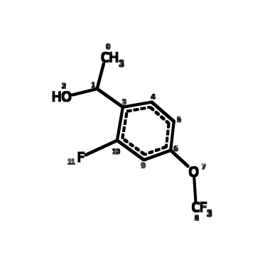 CC(O)c1ccc(OC(F)(F)F)cc1F